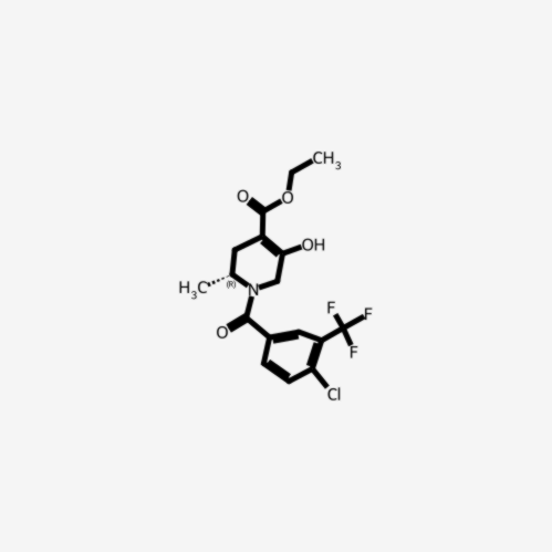 CCOC(=O)C1=C(O)CN(C(=O)c2ccc(Cl)c(C(F)(F)F)c2)[C@H](C)C1